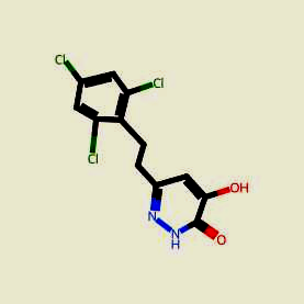 O=c1[nH]nc(CCc2c(Cl)cc(Cl)cc2Cl)cc1O